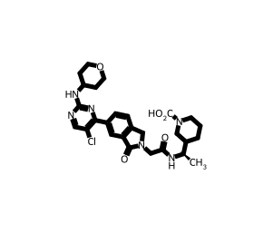 C[C@@H](NC(=O)CN1Cc2ccc(-c3nc(NC4CCOCC4)ncc3Cl)cc2C1=O)C1CCCN(C(=O)O)C1